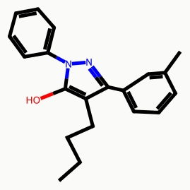 CCCCc1c(-c2cccc(C)c2)nn(-c2ccccc2)c1O